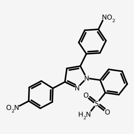 NS(=O)(=O)c1ccccc1-n1nc(-c2ccc([N+](=O)[O-])cc2)cc1-c1ccc([N+](=O)[O-])cc1